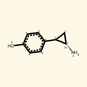 N[C@H]1CC1c1ccc(O)cc1